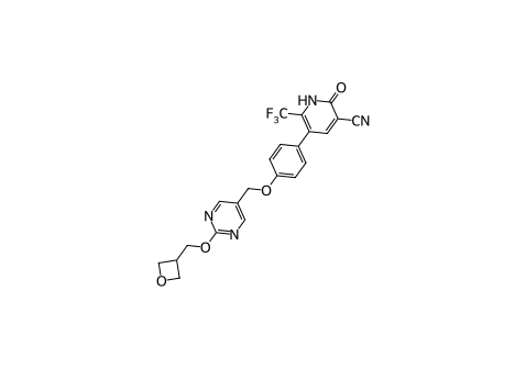 N#Cc1cc(-c2ccc(OCc3cnc(OCC4COC4)nc3)cc2)c(C(F)(F)F)[nH]c1=O